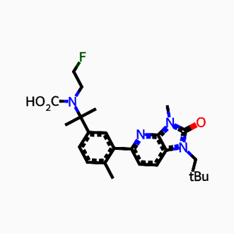 Cc1ccc(C(C)(C)N(CCF)C(=O)O)cc1-c1ccc2c(n1)n(C)c(=O)n2CC(C)(C)C